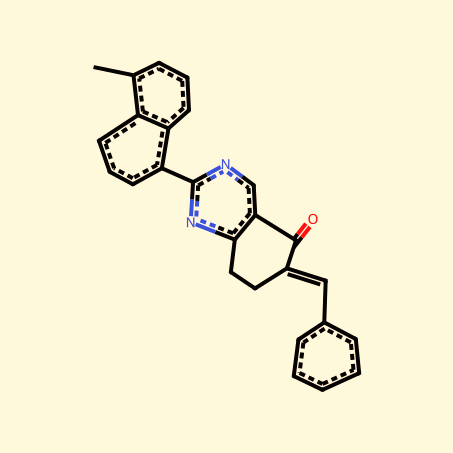 Cc1cccc2c(-c3ncc4c(n3)CC/C(=C\c3ccccc3)C4=O)cccc12